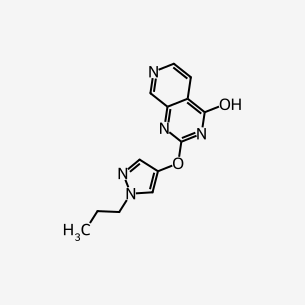 CCCn1cc(Oc2nc(O)c3ccncc3n2)cn1